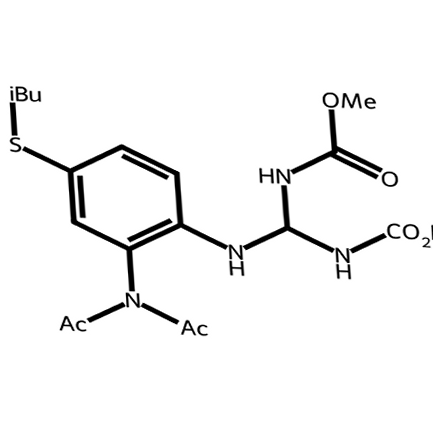 CCC(C)Sc1ccc(NC(NC(=O)O)NC(=O)OC)c(N(C(C)=O)C(C)=O)c1